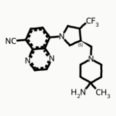 CC1(N)CCN(C[C@H]2CN(c3ccc(C#N)c4nccnc34)CC2C(F)(F)F)CC1